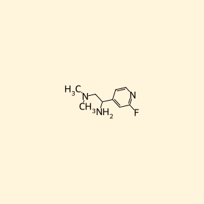 CN(C)CC(N)c1ccnc(F)c1